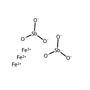 [Fe+2].[Fe+2].[Fe+2].[O-][Sb]([O-])[O-].[O-][Sb]([O-])[O-]